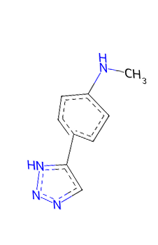 CNc1ccc(-c2cnn[nH]2)cc1